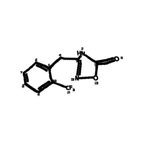 O=c1[nH]c(Cc2ccccc2C(F)(F)F)no1